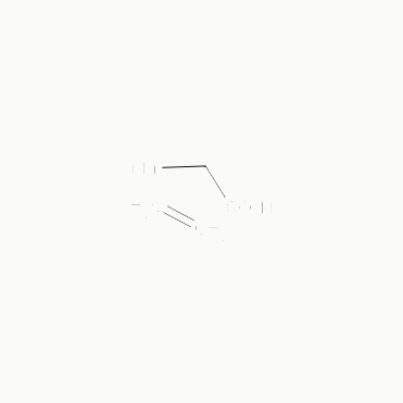 C=C.CCCCC(=O)O